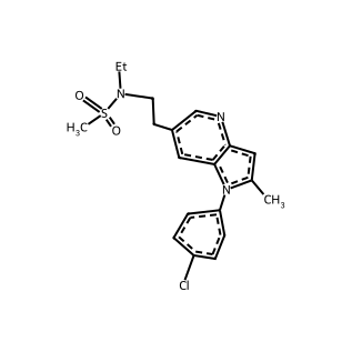 CCN(CCc1cnc2cc(C)n(-c3ccc(Cl)cc3)c2c1)S(C)(=O)=O